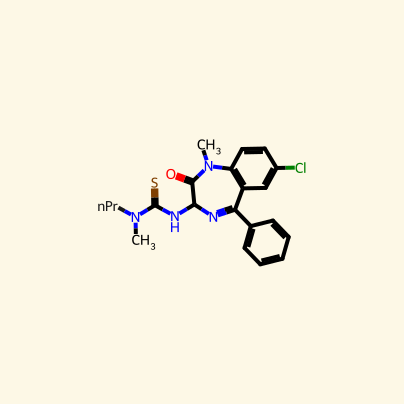 CCCN(C)C(=S)NC1N=C(c2ccccc2)c2cc(Cl)ccc2N(C)C1=O